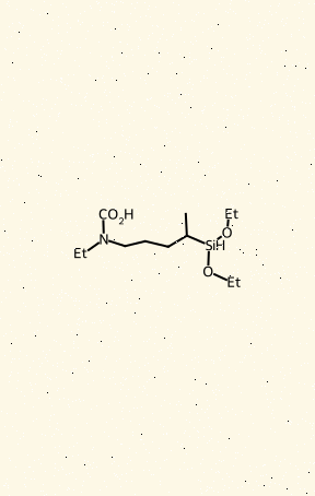 CCO[SiH](OCC)C(C)CCCN(CC)C(=O)O